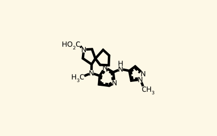 CN(c1ccnc(Nc2cnn(C)c2)n1)C1CN(C(=O)O)CC12CCCC2